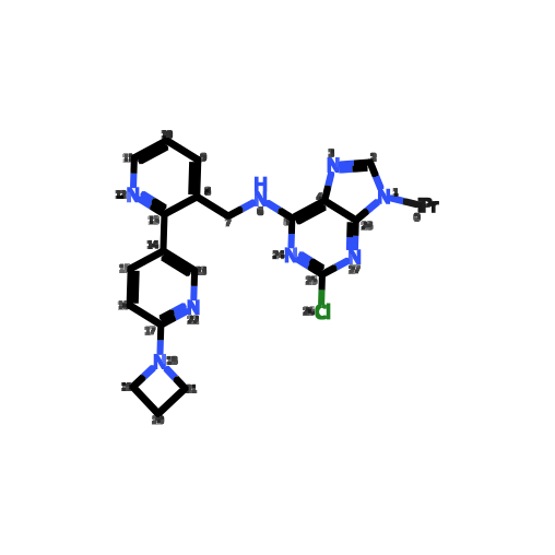 CC(C)n1cnc2c(NCc3cccnc3-c3ccc(N4CCC4)nc3)nc(Cl)nc21